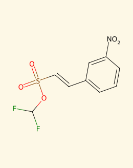 O=[N+]([O-])c1cccc(C=CS(=O)(=O)OC(F)F)c1